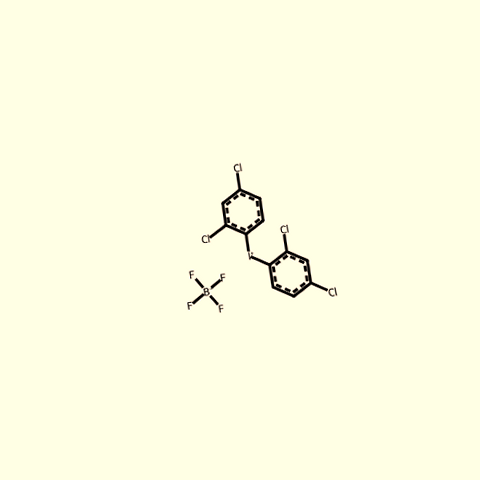 Clc1ccc([I+]c2ccc(Cl)cc2Cl)c(Cl)c1.F[B-](F)(F)F